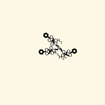 CC1(C(=O)OCCN(CCOC(=O)C2(C)COC(c3ccccc3)OC2)CCOC(=O)C2(C)COC(c3ccccc3)OC2)COC(c2ccccc2)OC1